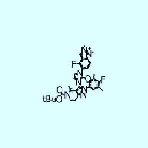 Cc1cc(-n2nc3c(c2-n2ccn(-c4ccc5c(c[n+](C)n5C)c4F)c2=O)[C@H](C)N(C(=O)OC(C)(C)C)CC3)cc(C)c1F